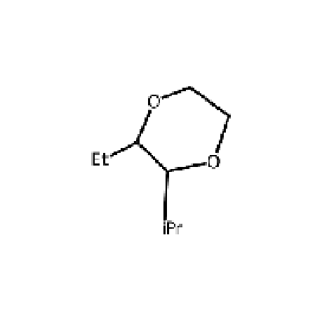 CCC1OCCOC1C(C)C